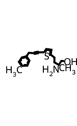 Cc1ccc(CC#Cc2ccc(CCC(C)(N)CO)s2)cc1